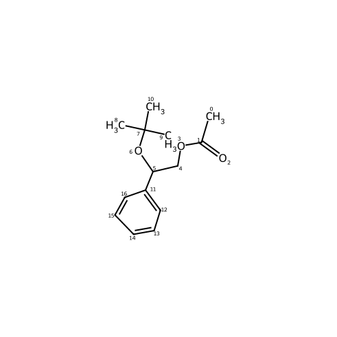 CC(=O)OCC(OC(C)(C)C)c1ccccc1